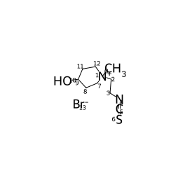 C[N+]1(CCN=C=S)CCC(O)CC1.[Br-]